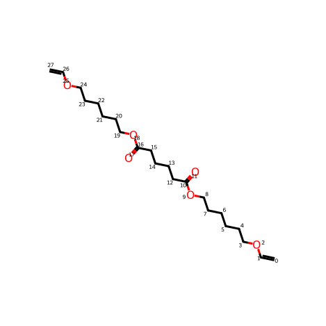 C=COCCCCCCOC(=O)CCCCC(=O)OCCCCCCOC=C